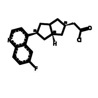 O=C(Cl)C[C@H]1CC2C[C@H](c3ccnc4ccc(F)cc34)C[C@@H]2C1